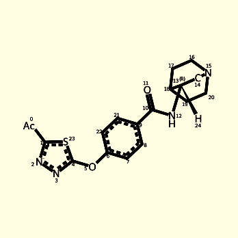 CC(=O)c1nnc(Oc2ccc(C(=O)N[C@H]3CN4CCC3CC4)cc2)s1